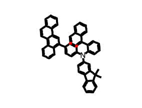 CC1(C)c2ccccc2-c2ccc(N(c3ccc(-c4cc5c6ccccc6ccc5c5ccccc45)cc3)c3ccccc3-c3cccc4ccccc34)cc21